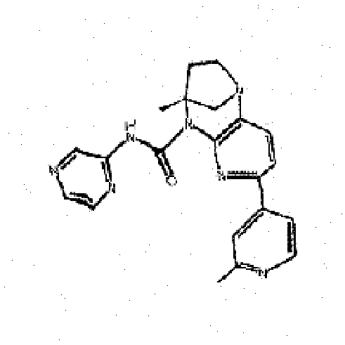 Cc1cc(-c2ccc3c(n2)N(C(=O)Nc2cnccn2)[C@]2(C)CCN3C2)ccn1